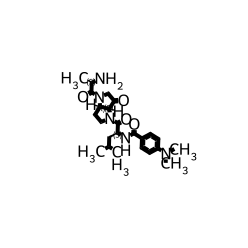 CC(C)C[C@H](NC(=O)c1ccc(N(C)C)cc1)C(=O)N1CC[C@@H]2[C@H]1C(=O)CN2C(=O)[C@H](C)N